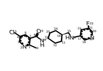 Cc1ncc(Cl)cc1C(=O)N[C@H]1CC[C@H](CNc2cncc(F)c2)CC1